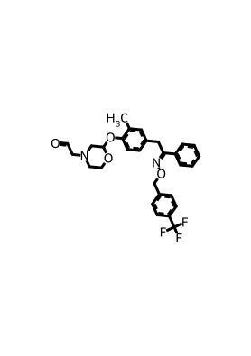 Cc1cc(CC(=NOCc2ccc(C(F)(F)F)cc2)c2ccccc2)ccc1OC1CN(CC=O)CCO1